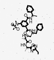 CCc1noc([C@H](C)NC(=O)[C@H](C)NC[C@H](Cc2ccccc2)NC(=O)c2cc(C(=O)N[C@H](C)c3ccccc3)cc(N(C)S(C)(=O)=O)c2)n1